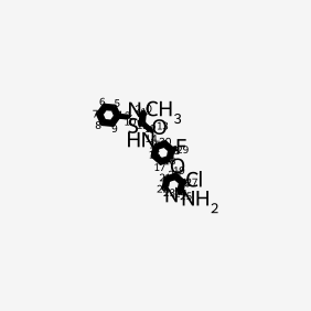 Cc1nc(-c2ccccc2)sc1C(=O)Nc1ccc(Oc2ccnc(N)c2Cl)c(F)c1